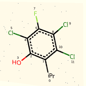 CC(C)c1c(O)c(Cl)c(F)c(Cl)c1Cl